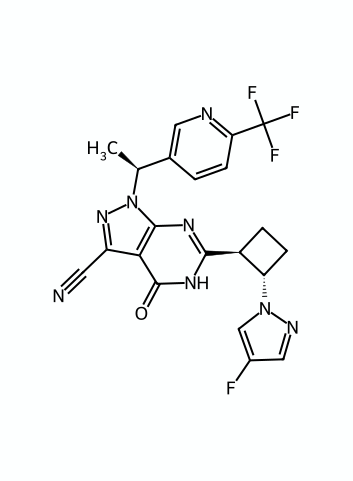 C[C@@H](c1ccc(C(F)(F)F)nc1)n1nc(C#N)c2c(=O)[nH]c([C@H]3CC[C@@H]3n3cc(F)cn3)nc21